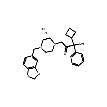 Cl.Cl.O=C(CN1CCN(Cc2ccc3c(c2)OCO3)CC1)C(O)(c1ccccc1)C1CCC1